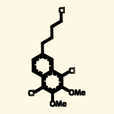 COc1c(OC)c(Cl)c2cc(CCCCCl)ccc2c1Cl